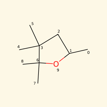 CC1CC(C)(C)C(C)(C)O1